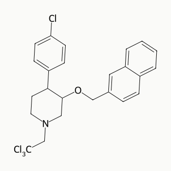 Clc1ccc(C2CCN(CC(Cl)(Cl)Cl)CC2OCc2ccc3ccccc3c2)cc1